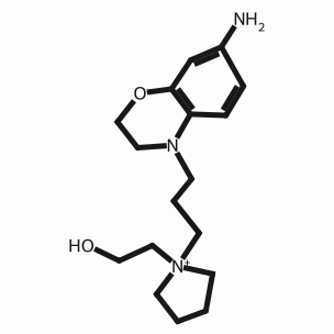 Nc1ccc2c(c1)OCCN2CCC[N+]1(CCO)CCCC1